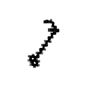 CCCCCCCCCCCCOP(=O)(O)OCCOCCOCCOCCOc1cccc2ccccc12